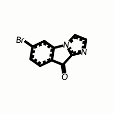 O=C1c2ccc(Br)cc2-n2ccnc21